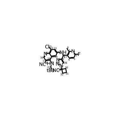 Cc1nc(F)ccc1[C@H](Nc1cc(Cl)c2ncc(C#N)c(NCC(C)(C)C)c2c1)c1cn(C2(C#N)CCC2)nn1